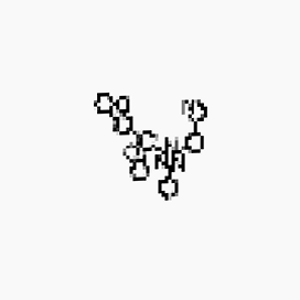 c1ccc(-c2nc(-c3cccc(-c4cccnc4)c3)nc(-c3ccc(-c4ccc5c(c4)oc4ccccc45)c4oc5ccccc5c34)n2)cc1